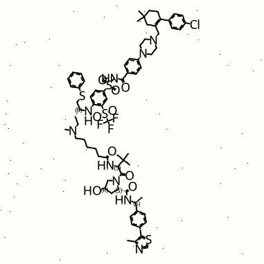 Cc1ncsc1-c1ccc([C@H](C)NC(=O)[C@@H]2C[C@@H](O)CN2C(=O)[C@@H](NC(=O)CCCCCN(C)CC[C@H](CSc2ccccc2)Nc2ccc(S(=O)(=O)NC(=O)c3ccc(N4CCN(CC5=C(c6ccc(Cl)cc6)CCC(C)(C)C5)CC4)cc3)cc2S(=O)(=O)C(F)(F)F)C(C)(C)C)cc1